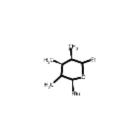 CCC1O[C@@H](C(C)(C)C)C(C)[C@@H](C)[C@H]1C